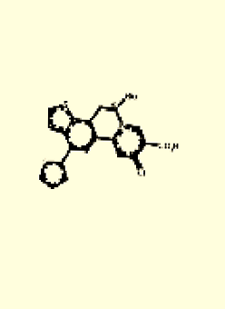 CC(C)(C)[C@@H]1Cc2c(cc(-c3cccs3)c3ccsc23)-c2cc(=O)c(C(=O)O)cn21